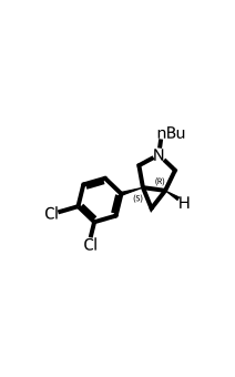 CCCCN1C[C@@H]2C[C@]2(c2ccc(Cl)c(Cl)c2)C1